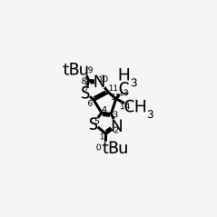 CC(C)(C)c1nc2c(s1)-c1sc(C(C)(C)C)nc1C2(C)C